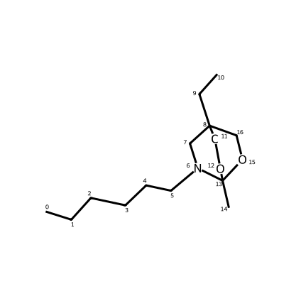 CCCCCCN1CC2(CC)COC1(C)OC2